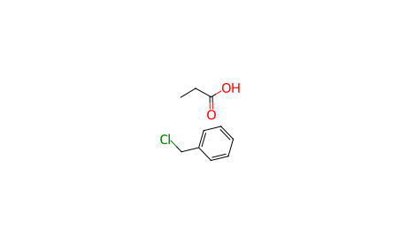 CCC(=O)O.ClCc1ccccc1